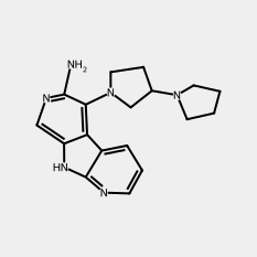 Nc1ncc2[nH]c3ncccc3c2c1N1CCC(N2CCCC2)C1